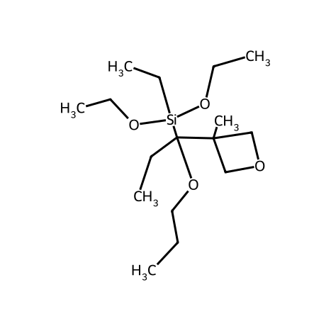 CCCOC(CC)(C1(C)COC1)[Si](CC)(OCC)OCC